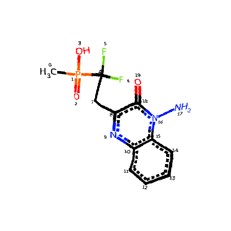 CP(=O)(O)C(F)(F)Cc1nc2ccccc2n(N)c1=O